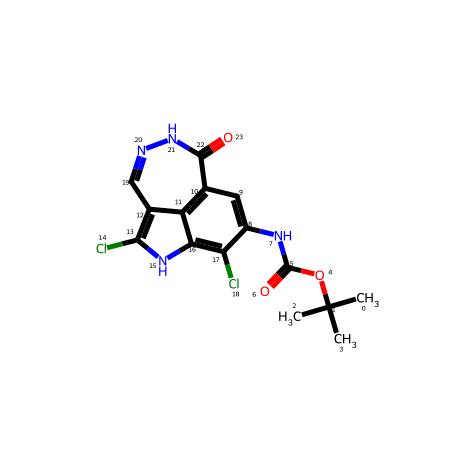 CC(C)(C)OC(=O)Nc1cc2c3c(c(Cl)[nH]c3c1Cl)C=NNC2=O